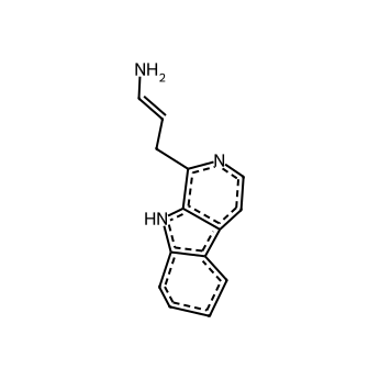 NC=CCc1nccc2c1[nH]c1ccccc12